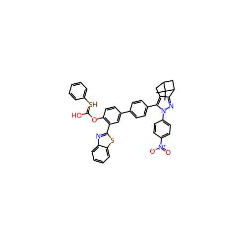 CC1(C)C2Cc3c(nn(-c4ccc([N+](=O)[O-])cc4)c3-c3ccc(-c4ccc(OC(O)=[SH]c5ccccc5)c(-c5nc6ccccc6s5)c4)cc3)C1C2